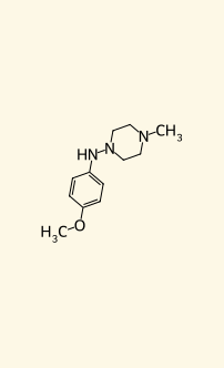 COc1ccc(NN2CCN(C)CC2)cc1